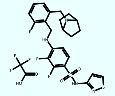 O=C(O)C(F)(F)F.O=S(=O)(Nc1ccsn1)c1ccc(NCc2c(F)cccc2CN2C3CCC2CC3)c(F)c1F